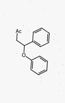 CC(=O)CC(Oc1ccccc1)c1ccccc1